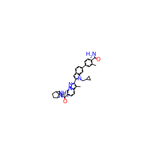 Cc1cc(-c2ccc3cc(-c4nn5cc(C(=O)N6CC7CCC6[C@@H]7N)ccc5c4C)n(CC4CC4)c3c2)ccc1C(N)=O